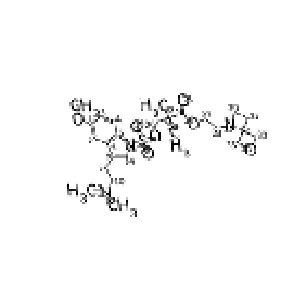 COc1ccc2c(c1)c(CCN(C)C)cn2S(=O)(=O)OCC(C)(C)C(=O)OCCN1CCC12COC2